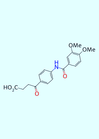 COc1ccc(C(=O)Nc2ccc(C(=O)CCC(=O)O)cc2)cc1OC